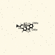 COc1cc(Nc2nc(N[C@@H](C3CC3)[C@H](C)NC(=O)O)c(F)cc2C(N)=O)cc(OC)c1